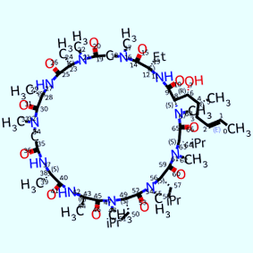 C/C=C/C[C@@H](C)[C@@H](O)[C@H]1C(=O)N[C@@H](CC)C(=O)N(C)CC(=O)N(C)[C@@H](C)C(=O)N[C@@H](C)C(=O)N(C)CC(=O)N[C@@H](C)C(=O)N[C@H](C)C(=O)N(C)[C@@H](CC(C)C)C(=O)N(C)[C@@H](CC(C)C)C(=O)N(C)[C@@H](C(C)C)C(=O)N1C